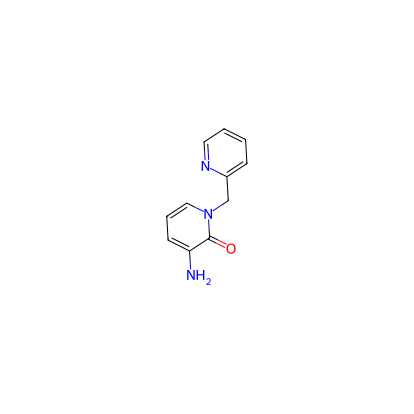 Nc1cccn(Cc2ccccn2)c1=O